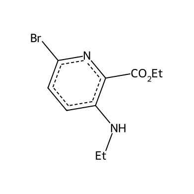 CCNc1ccc(Br)nc1C(=O)OCC